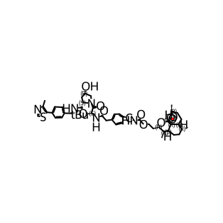 Cc1ncsc1-c1ccc(CNC(=O)[C@@H]2C[C@@H](O)CN2C(=O)[C@@H](NC(=O)Cc2ccc(CNC(=O)OCC[C@H]3O[C@@H]4O[C@@]5(C)CC[C@H]6[C@H](C)CC[C@@H]([C@H]3C)[C@@]46OO5)cc2)C(C)(C)C)cc1